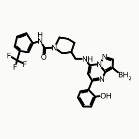 Bc1cnn2c(NCC3CCCN(C(=O)Nc4cccc(C(F)(F)F)c4)C3)cc(-c3ccccc3O)nc12